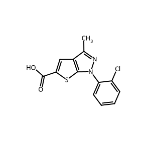 Cc1nn(-c2ccccc2Cl)c2sc(C(=O)O)cc12